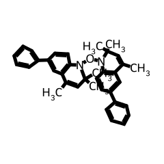 CC1=CC(C)(C)N(ON2c3ccc(-c4ccccc4)cc3C(C)=CC2(C)C)c2ccc(-c3ccccc3)cc21